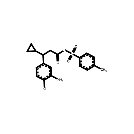 Cc1ccc(S(=O)(=O)OC(=O)CC(c2ccc(Cl)c(N)c2)C2CC2)cc1